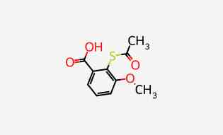 COc1cccc(C(=O)O)c1SC(C)=O